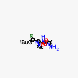 Cc1cc(N)nc(S(=O)(=O)NC(=O)c2ccc(-c3cc(F)cc(OCC(C)C)c3)nc2N2C[C@@H](C)CC2(C)C)c1